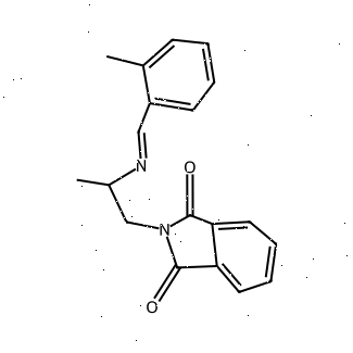 Cc1ccccc1/C=N/C(C)CN1C(=O)c2ccccc2C1=O